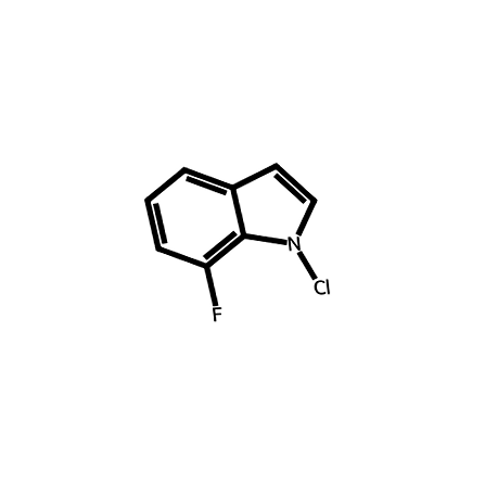 Fc1cccc2ccn(Cl)c12